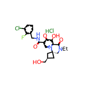 CCN1C[C@]2(C[C@H](CO)C2)n2cc(C(=O)NCc3cccc(Cl)c3F)c(=O)c(O)c2C1=O.Cl